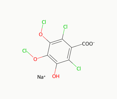 O=C([O-])c1c(Cl)c(O)c(OCl)c(OCl)c1Cl.[Na+]